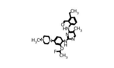 CCc1cccc(Nc2nc(NC3CC=C(N4CCN(C)CC4)C=C3OC(C)F)ncc2C)c1C=O